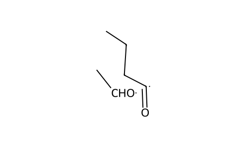 CCC[C]=O.C[C]=O